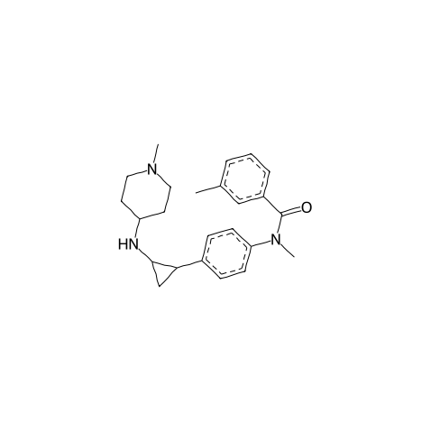 Cc1cccc(C(=O)N(C)c2ccc(C3CC3NC3CCN(C)CC3)cc2)c1